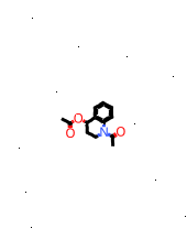 CC(=O)OC1CCN(C(C)=O)c2ccccc21